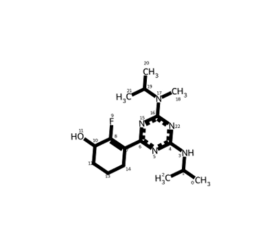 CC(C)Nc1nc(C2=C(F)C(O)CCC2)nc(N(C)C(C)C)n1